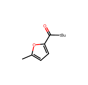 Cc1ccc(C(=O)C(C)(C)C)o1